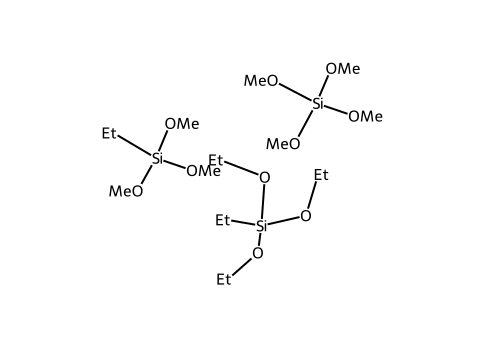 CCO[Si](CC)(OCC)OCC.CC[Si](OC)(OC)OC.CO[Si](OC)(OC)OC